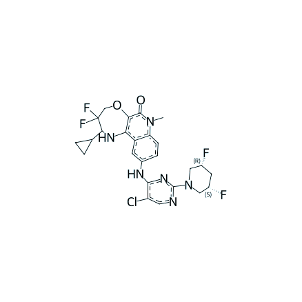 Cn1c(=O)c2c(c3cc(Nc4nc(N5C[C@H](F)C[C@H](F)C5)ncc4Cl)ccc31)NC(C1CC1)C(F)(F)CO2